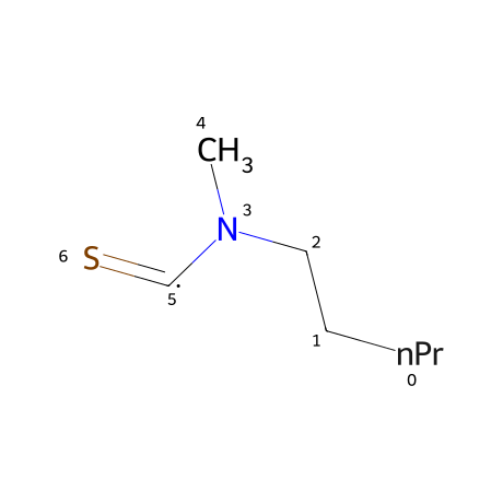 CCCCCN(C)[C]=S